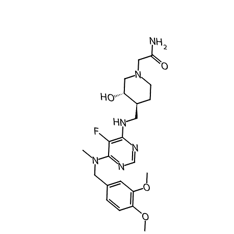 COc1ccc(CN(C)c2ncnc(NC[C@@H]3CCN(CC(N)=O)C[C@H]3O)c2F)cc1OC